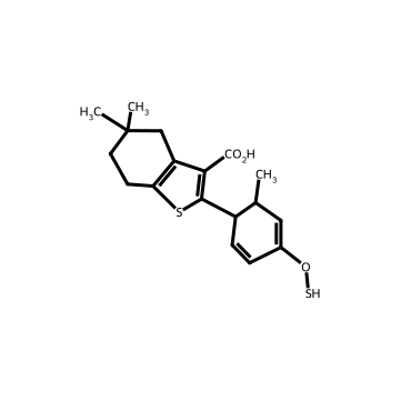 CC1C=C(OS)C=CC1c1sc2c(c1C(=O)O)CC(C)(C)CC2